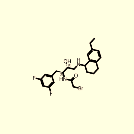 CCc1ccc2c(c1)C(NC[C@@H](O)[C@H](Cc1cc(F)cc(F)c1)NC(=O)CBr)CCC2